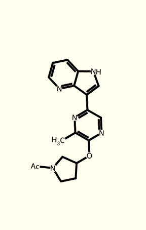 CC(=O)N1CCC(Oc2ncc(-c3c[nH]c4cccnc34)nc2C)C1